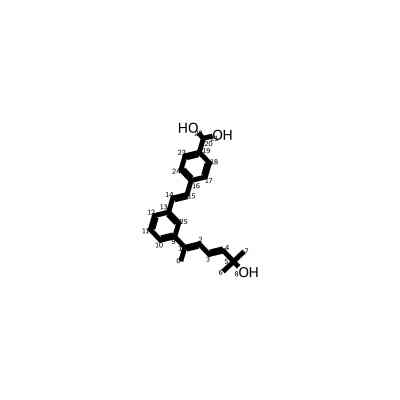 CC(=CC=CC(C)(C)O)c1cccc(C=Cc2ccc(C(O)O)cc2)c1